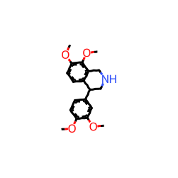 COc1ccc(C2CNCc3c2ccc(OC)c3OC)cc1OC